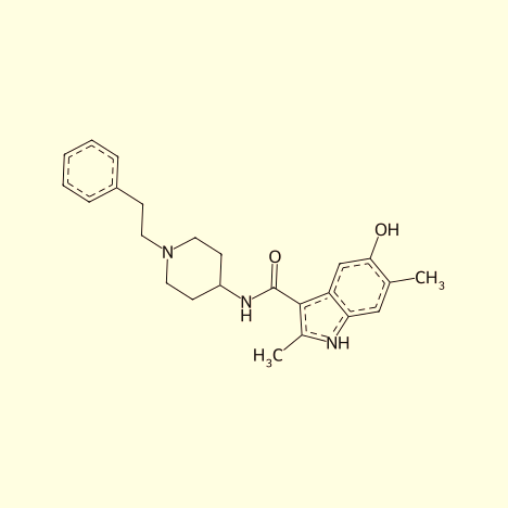 Cc1cc2[nH]c(C)c(C(=O)NC3CCN(CCc4ccccc4)CC3)c2cc1O